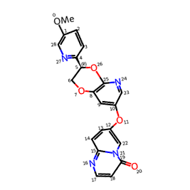 COc1ccc([C@@H]2COc3cc(Oc4ccc5nccc(=O)n5c4)cnc3O2)nc1